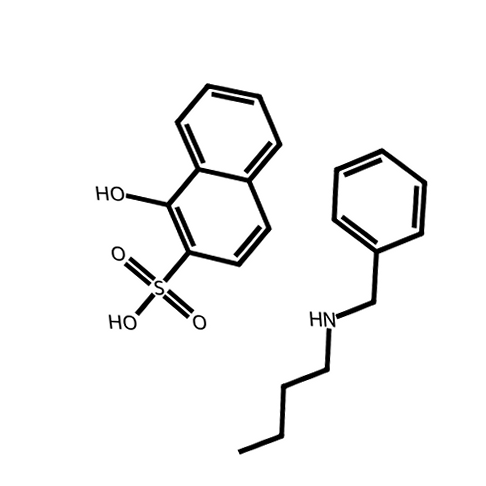 CCCCNCc1ccccc1.O=S(=O)(O)c1ccc2ccccc2c1O